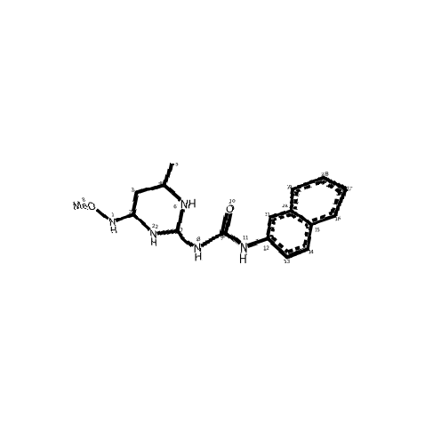 CONC1CC(C)NC(NC(=O)Nc2ccc3ccccc3c2)N1